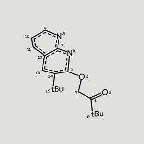 CC(C)(C)C(=O)COc1nc2ncccc2cc1C(C)(C)C